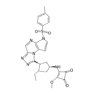 CCC1C[C@H](Nc2c(OC)c(=O)c2=O)C[C@@H]1c1nnc2cnc3c(ccn3S(=O)(=O)c3ccc(C)cc3)n12